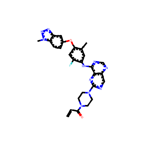 C=CC(=O)N1CCN(c2ncc3ncnc(Nc4cc(C)c(Oc5ccc6c(c5)nnn6C)cc4F)c3n2)CC1